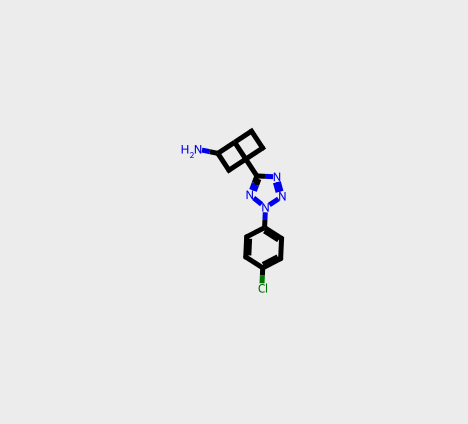 NC1CC2(c3nnn(-c4ccc(Cl)cc4)n3)CCC12